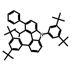 CC(C)c1c(-c2ccccc2)ccc2c1c1c(-c3cc(C(C)(C)C)cc(C(C)(C)C)c3)cccc1n2-c1cc(C(C)(C)C)cc(C(C)(C)C)c1